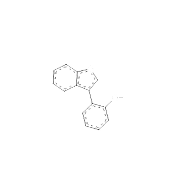 Oc1ccccc1-c1[c]oc2ccccc12